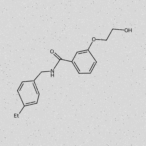 CCc1ccc(CNC(=O)c2cccc(OCCO)c2)cc1